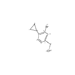 OCc1ccc(C2CC2)c(Br)c1